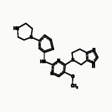 COc1cnc(Nc2cccc(N3CCNCC3)c2)nc1N1CCc2nc[nH]c2C1